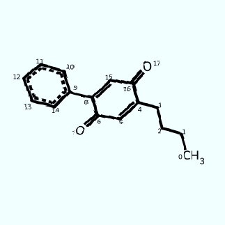 CCCCC1=CC(=O)C(c2ccccc2)=CC1=O